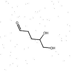 O=CC[CH]C(O)CO